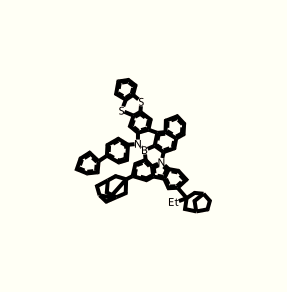 CCC1(c2ccc3c(c2)c2cc(C45CC6CC(CC(C6)C4)C5)cc4c2n3-c2cc3ccccc3c3c2B4N(c2ccc(-c4ccccc4)cc2)c2cc4c(cc2-3)Sc2ccccc2S4)CC2CCC(C2)C1